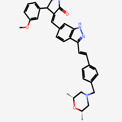 COc1cccc(C2CNC(=O)C2=Cc2ccc3c(/C=C/c4ccc(CN5C[C@@H](C)O[C@@H](C)C5)cc4)n[nH]c3c2)c1